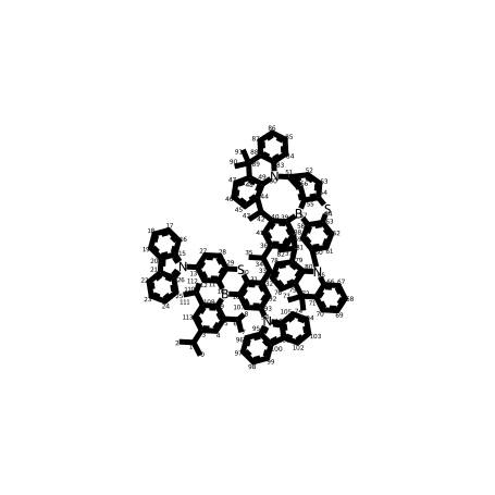 CC(C)c1cc(C(C)C)c(B2c3cc(-n4c5ccccc5c5ccccc54)ccc3Sc3c(CC(C)c4cc5c6c(c4)C(C)c4cccc7c4N(c4ccc8c(c4)B6c4cc(ccc4S8)N4c6ccccc6C(C)(C)c6cccc(c64)C5C)c4ccccc4C7(C)C)cc(-n4c5ccccc5c5ccccc54)cc32)c(C(C)C)c1